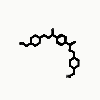 O=C(OCC1CCC(CO)CC1)c1ccc(C(=O)OCC2CCC(CO)CC2)cc1